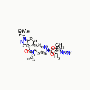 COCCn1ncc2c(C(=O)N(C3CC3)C3CCc4nn(C(=O)OC(C)(C)CN=[N+]=[N-])cc4C3)cccc21